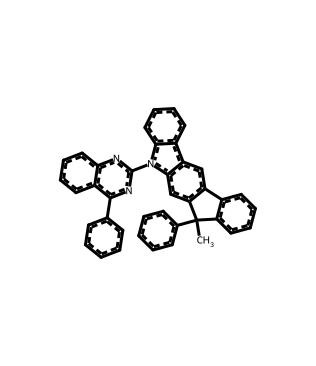 CC1(c2ccccc2)c2ccccc2-c2cc3c4ccccc4n(-c4nc(-c5ccccc5)c5ccccc5n4)c3cc21